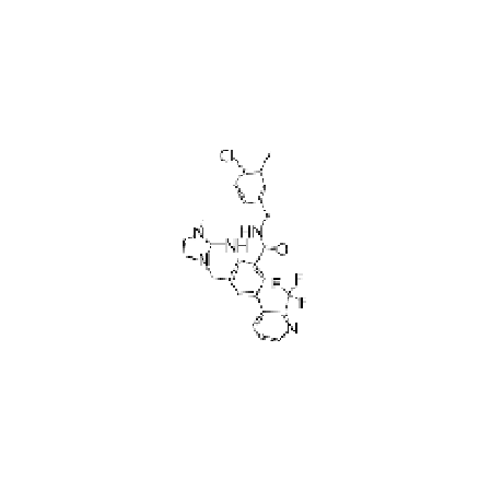 Cc1cc(CNC(=O)c2cc(Cn3ccn(C)c3=N)cc(-c3cccnc3C(F)(F)F)c2)ccc1Cl